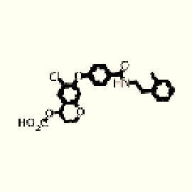 Cc1ccccc1CCNC(=O)c1ccc(Oc2cc3c(cc2Cl)C(OC(=O)O)CCO3)cc1